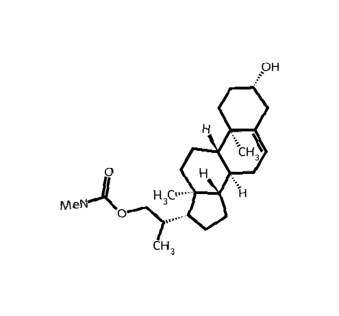 CNC(=O)OCC(C)[C@H]1CC[C@H]2[C@@H]3CC=C4C[C@@H](O)CC[C@]4(C)[C@H]3CC[C@]12C